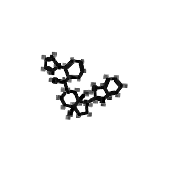 O=C(c1ccccc1-n1nccn1)N1CC[C@H]2CCN(c3nc4ccccc4o3)[C@H]2C1